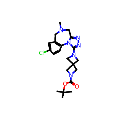 CN1Cc2cc(Cl)ccc2-n2c(nnc2N2CC3(CN(C(=O)OC(C)(C)C)C3)C2)C1